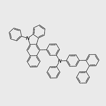 c1ccc(-c2ccccc2-c2ccc(N(c3ccccc3)c3cccc(-c4c5ccccc5cc5c4c4ccccc4n5-c4ccccc4)c3)cc2)cc1